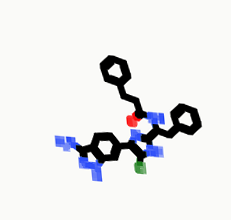 Nc1n[nH]c2cc(-c3nc(C(Cc4ccccc4)NC(=O)CCc4ccccc4)[nH]c3Cl)ccc12